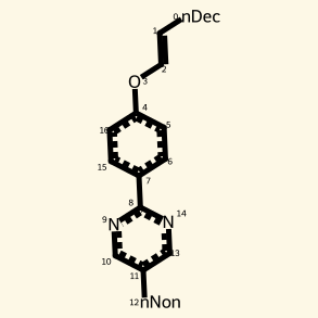 CCCCCCCCCCC=COc1ccc(-c2ncc(CCCCCCCCC)cn2)cc1